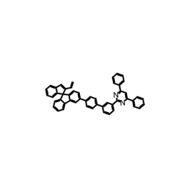 C=CC1=Cc2ccccc2C12c1ccccc1-c1cc(-c3ccc(-c4cccc(-c5nc(-c6ccccc6)cc(-c6ccccc6)n5)c4)cc3)ccc12